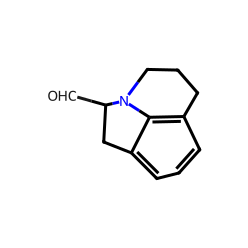 O=CC1Cc2cccc3c2N1CCC3